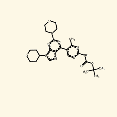 CC(C)(C)OC(=O)Nc1ncc(-c2nc(N3CCOCC3)nc3c2ncn3C2CCOCC2)c(N)n1